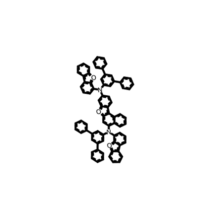 c1ccc(-c2cc(-c3ccccc3)cc(N(c3ccc4c(c3)oc3cc(N(c5cc(-c6ccccc6)cc(-c6ccccc6)c5)c5cccc6c5oc5ccccc56)c5ccccc5c34)c3cccc4c3oc3ccccc34)c2)cc1